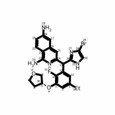 CCc1cc(O[C@@H]2CCOC2)c(F)c(C(c2cc3cc(N)ccc3c(N)n2)c2nc(Br)c[nH]2)c1